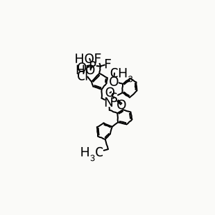 CCc1cccc(-c2ccccc2CN(Cc2ccc(C(F)(F)P(=O)(O)O)c(Cl)c2)S(=O)(=O)c2ccccc2OC)c1